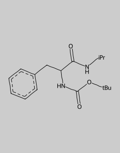 CC(C)NC(=O)C(Cc1ccccc1)NC(=O)OC(C)(C)C